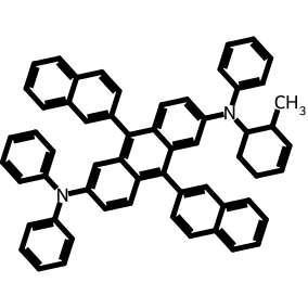 CC1C=CCCC1N(c1ccccc1)c1ccc2c(-c3ccc4ccccc4c3)c3cc(N(c4ccccc4)c4ccccc4)ccc3c(-c3ccc4ccccc4c3)c2c1